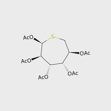 CC(=O)O[C@H]1[C@@H](OC(C)=O)[C@H](OC(C)=O)CS[C@H](OC(C)=O)[C@@H]1OC(C)=O